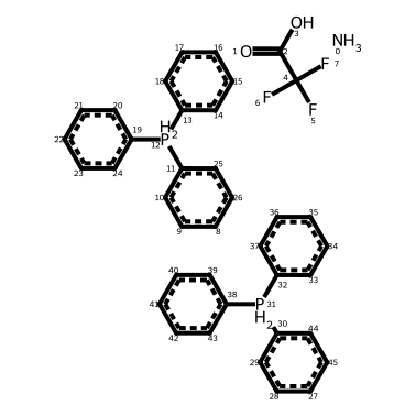 N.O=C(O)C(F)(F)F.c1ccc([PH2](c2ccccc2)c2ccccc2)cc1.c1ccc([PH2](c2ccccc2)c2ccccc2)cc1